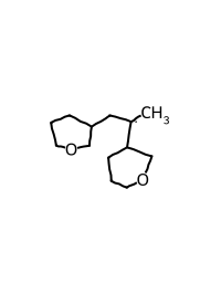 C[C](CC1CCCOC1)C1CCCOC1